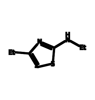 CCNc1nc(CC)[c]s1